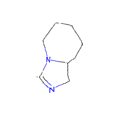 [C]1=NCC2CCCCN12